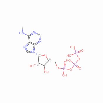 CNc1ncnc2c1ncn2[C@@H]1O[C@H](COP(=O)(O)OP(=O)(O)OP(=O)(O)O)C(O)[C@@H]1O